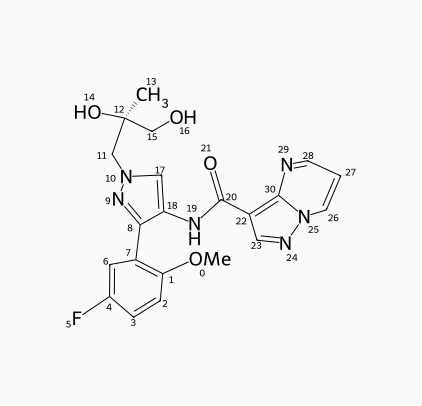 COc1ccc(F)cc1-c1nn(C[C@@](C)(O)CO)cc1NC(=O)c1cnn2cccnc12